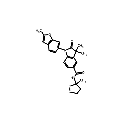 Cc1nc2ccc(N3C(=O)C(C)(C)c4cc(C(=O)NC5(C)CCOS5)ccc43)cc2o1